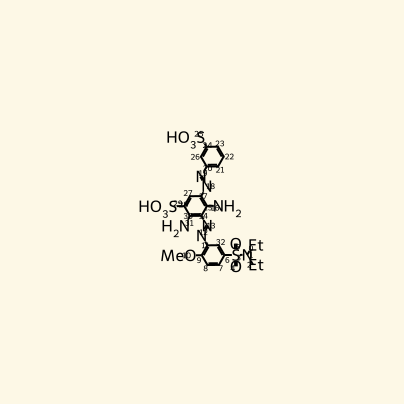 CCN(CC)S(=O)(=O)c1ccc(OC)c(/N=N/c2c(N)c(/N=N/c3cccc(S(=O)(=O)O)c3)cc(S(=O)(=O)O)c2N)c1